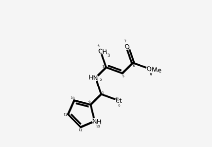 CCC(NC(C)=CC(=O)OC)c1ccc[nH]1